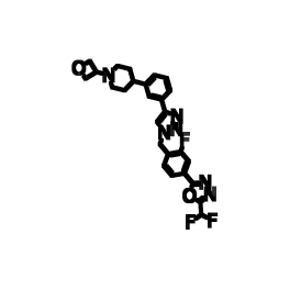 Fc1cc(-c2nnc(C(F)F)o2)ccc1Cn1cc(-c2cccc(C3CCN(C4COC4)CC3)c2)nn1